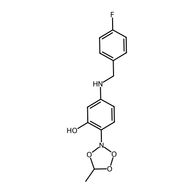 CC1OON(c2ccc(NCc3ccc(F)cc3)cc2O)O1